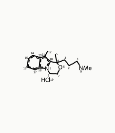 CNCCCC1(C)OCCn2c1c(C)c1ccccc12.Cl